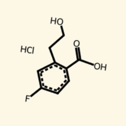 Cl.O=C(O)c1ccc(F)cc1CCO